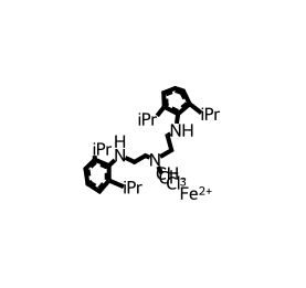 CC(C)c1cccc(C(C)C)c1NCCN(C)CCNc1c(C(C)C)cccc1C(C)C.[Cl-].[Cl-].[Fe+2]